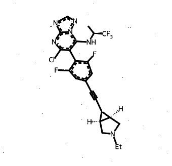 CCN1C[C@@H]2C(C#Cc3cc(F)c(-c4c(Cl)nc5ncnn5c4N[C@@H](C)C(F)(F)F)c(F)c3)[C@@H]2C1